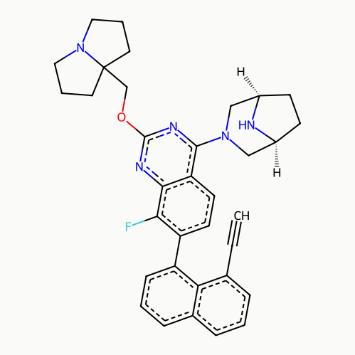 C#Cc1cccc2cccc(-c3ccc4c(N5C[C@H]6CC[C@@H](C5)N6)nc(OCC56CCCN5CCC6)nc4c3F)c12